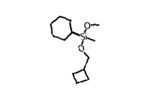 CO[Si](C)(OCC1CCC1)C1CCCCC1